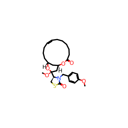 COc1ccc(CN2C(=O)SC[C@H]2[C@@]2(OC)C[C@H]3C[C@@H](CCCC=CCCCCCC(=O)O3)O2)cc1